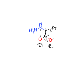 CCCC(NN)[SiH](OCC)OCC